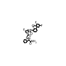 NC(=O)c1nn(CC(=O)N2C[C@H](F)C[C@H]2C(=O)Nc2cccc(-c3cc(F)cc(F)c3Cl)c2F)c2ccccc12